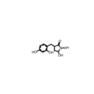 CCCN1C(=O)C(Cc2ccc(O)cc2O)CC1O